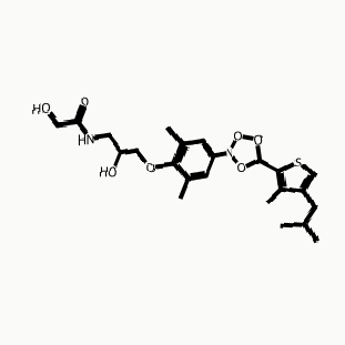 Cc1cc(N2OOC(c3scc(CC(C)C)c3C)O2)cc(C)c1OCC(O)CNC(=O)CO